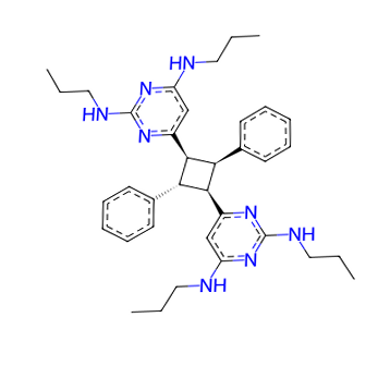 CCCNc1cc([C@H]2[C@H](c3ccccc3)[C@@H](c3cc(NCCC)nc(NCCC)n3)[C@H]2c2ccccc2)nc(NCCC)n1